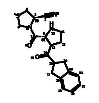 N#C[C@@H]1CSCN1C(=O)[C@@H]1NCCC1C(=O)C1Cc2ccccc2C1